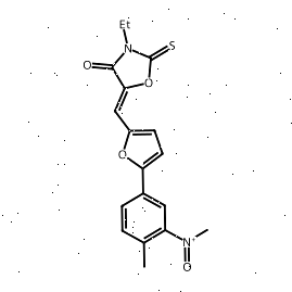 CCN1C(=O)C(=Cc2ccc(-c3ccc(C)c([N+](C)=O)c3)o2)OC1=S